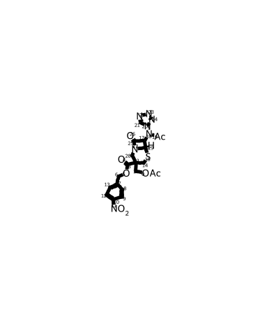 CC(=O)OCC1(C(=O)OCc2ccc([N+](=O)[O-])cc2)CS[C@@H]2C(N(C(C)=O)n3cnnn3)C(=O)N2C1